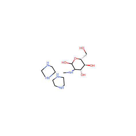 C1CNCCN1.C1CNCCN1.CN[C@H]1C(O)O[C@H](CO)[C@@H](O)[C@@H]1O